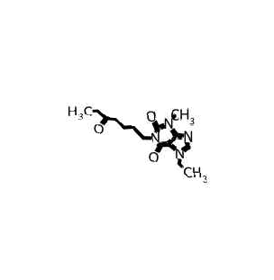 CCC(=O)CCCCn1c(=O)c2c(ncn2CC)n(C)c1=O